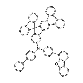 c1ccc(-c2ccc(N(c3ccc(-c4cccc5c4oc4ccccc45)cc3)c3ccc4c(c3)-c3cc5c6ccccc6c6ccccc6c5cc3C43c4ccccc4-c4ccccc43)cc2)cc1